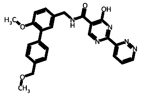 COCc1ccc(-c2cc(CNC(=O)c3cnc(-c4cccnn4)nc3O)ccc2OC)cc1